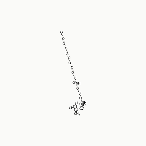 CN1Cc2c(Cl)cc(Cl)cc2C(c2cccc(S(=O)(=O)NCCOCCOCCOCCNC(=O)CCOCCOCCOCCOCCOCCOCCOCCOCCOCCC=O)c2)C1